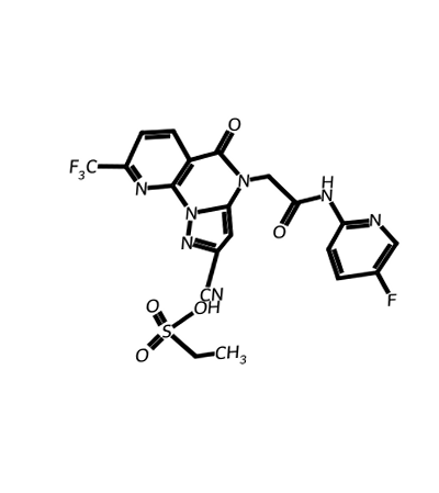 CCS(=O)(=O)O.N#Cc1cc2n(CC(=O)Nc3ccc(F)cn3)c(=O)c3ccc(C(F)(F)F)nc3n2n1